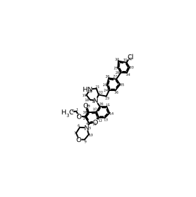 CCOc1c(N2CCOCC2)oc2cccc(N3CCNCC3Cc3ccc(-c4ccc(Cl)cc4)cc3)c2c1=O